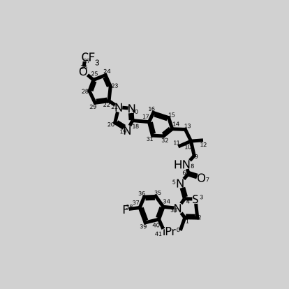 Cc1cs/c(=N\C(=O)NCC(C)(C)Cc2ccc(-c3ncn(-c4ccc(OC(F)(F)F)cc4)n3)cc2)n1-c1ccc(F)cc1C(C)C